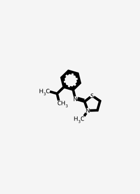 CC(C)c1ccccc1N=C1SCCN1C